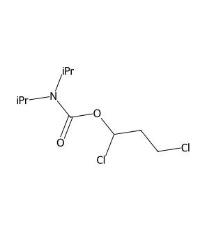 CC(C)N(C(=O)OC(Cl)CCCl)C(C)C